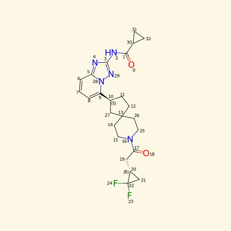 O=C(Nc1nc2cccc([C@H]3CCC4(CCN(C(=O)C[C@@H]5CC5(F)F)CC4)C3)n2n1)C1CC1